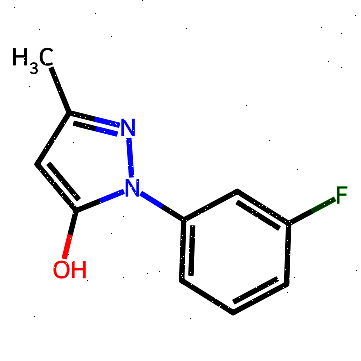 Cc1cc(O)n(-c2cccc(F)c2)n1